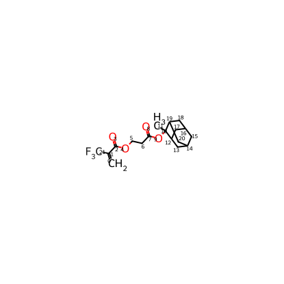 C=C(C(=O)OCCC(=O)OC1(C)C2CC3CC(C2)CC1C3)C(F)(F)F